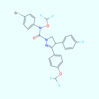 O=C(N1CC(c2ccc(F)cc2)C(c2ccc(OC(F)F)cc2)=N1)N(OC(F)F)c1ccc(Br)cc1